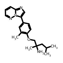 Cc1cc(-c2cnc3cccnn23)ccc1OCC(C)(N)CC(C)C